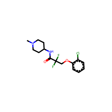 CN1CCC(NC(=O)C(F)(F)COc2ccccc2Cl)CC1